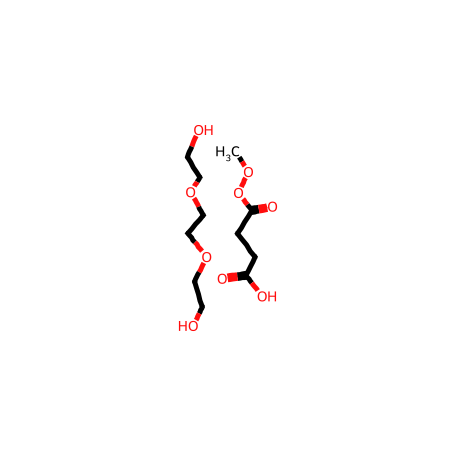 COOC(=O)CCC(=O)O.OCCOCCOCCO